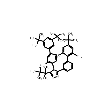 Cc1cc(-c2cc(C(C)(C)C)cc(C(C)(C)C)c2)ccc1-n1c(-c2cccc(-c3c(C)cc(C(C)(C)C)cc3C)c2)nnc1C(C)(C)C(C)(C)C